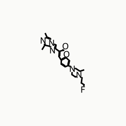 Cc1cn2cc(-c3cc4ccc(N5CCN(CCCF)C(C)C5)cc4oc3=O)nc2c(C)n1